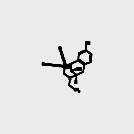 CCN1CC[C@]23CC(=O)NC(=O)NCC[C@@]2(O)[C@H]1Cc1ccc(O)cc13